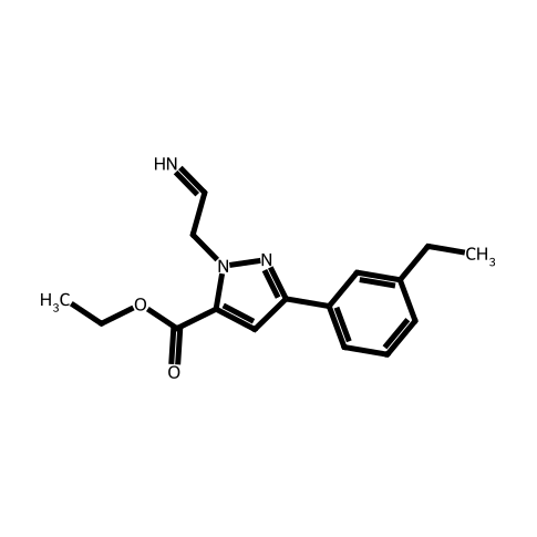 CCOC(=O)c1cc(-c2cccc(CC)c2)nn1CC=N